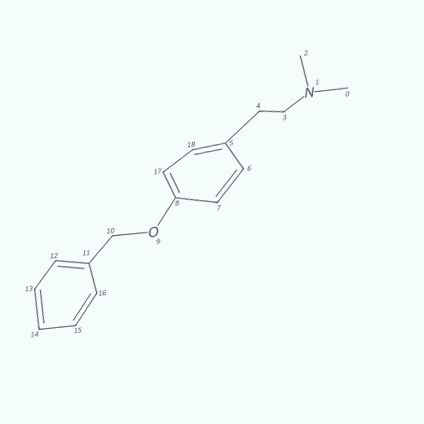 CN(C)CCc1ccc(OCc2ccccc2)cc1